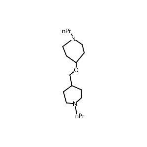 CCCN1CCC(COC2CCN(CCC)CC2)CC1